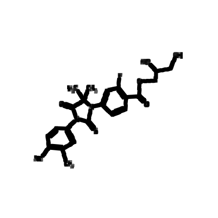 CC1(C)C(=O)N(c2ccc(C#N)c(C(F)(F)F)c2)C(=S)N1c1ccc(C(=O)OCC(O)CO)c(F)c1